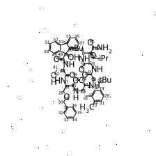 CCCCC(NC(=O)[C@H](CC(C)C)NC(=O)[C@@H](NC(=O)[C@H](Cc1ccccc1C)NC(=O)[C@@H](COCc1ccccc1)NC(=O)[C@H](CO)NC(=O)C1(O)c2ccccc2-c2ccccc21)C(C)(C)C)C(=O)C(N)=O